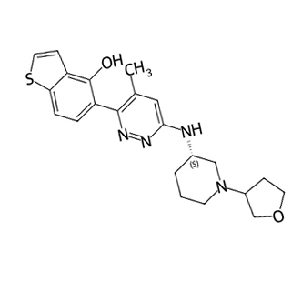 Cc1cc(N[C@H]2CCCN(C3CCOC3)C2)nnc1-c1ccc2sccc2c1O